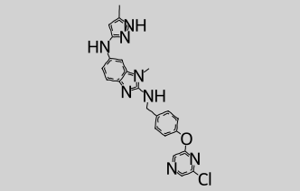 Cc1cc(Nc2ccc3nc(NCc4ccc(Oc5cncc(Cl)n5)cc4)n(C)c3c2)n[nH]1